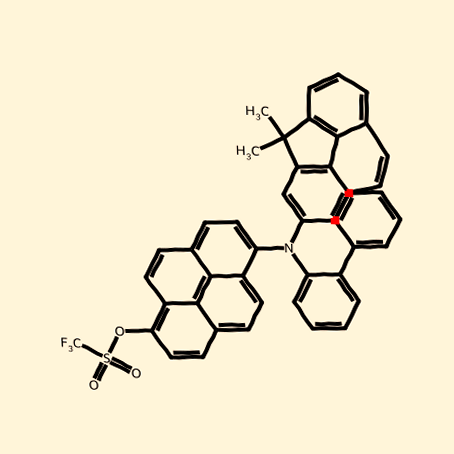 CC1(C)c2cccc3ccc4cc(N(c5ccccc5-c5ccccc5)c5ccc6ccc7c(OS(=O)(=O)C(F)(F)F)ccc8ccc5c6c87)cc1c4c23